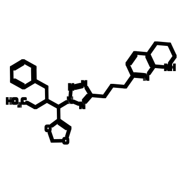 O=C(O)CC(Cc1ccccc1)C(C1=COCO1)n1nnc(CCCc2ccc3c(n2)NCCC3)n1